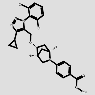 CC(C)(C)OC(=O)c1ccc(N2C[C@@H]3C[C@H]2C[C@H]3OCc2c(C3CC3)nnn2-c2c(Cl)cccc2Cl)cc1